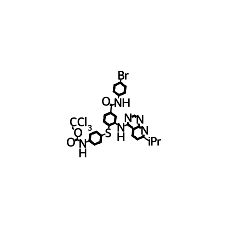 CC(C)c1ccc2c(Nc3cc(C(=O)Nc4ccc(Br)cc4)ccc3Sc3ccc(NC(=O)OCC(Cl)(Cl)Cl)cc3)ncnc2n1